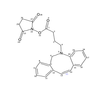 O=C(CCCN1Cc2ccccc2/C=C\c2ccccc21)ON1C(=O)CCC1=O